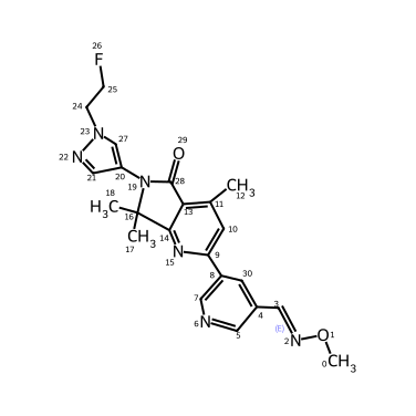 CO/N=C/c1cncc(-c2cc(C)c3c(n2)C(C)(C)N(c2cnn(CCF)c2)C3=O)c1